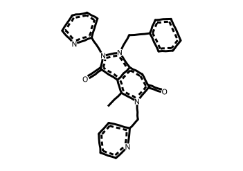 Cc1c2c(=O)n(-c3ccccn3)n(Cc3ccccc3)c2cc(=O)n1Cc1ccccn1